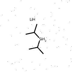 CC(C)[SiH2]C(C)C.[LiH]